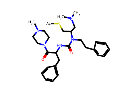 CC(=O)SCC(CN(C)C)N(CCc1ccccc1)C(=O)NC(Cc1ccccc1)C(=O)N1CCN(C)CC1